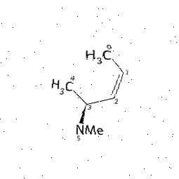 C/C=C\[C@H](C)NC